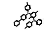 Cc1ccc(N(c2ccccc2)c2cc(C)cc(N(c3ccc(C)cc3)c3ccc(-c4ccccc4)cc3)c2C)cc1